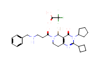 O=C(CCNCc1ccccc1)N1CCc2nc(C3CCC3)n(C3CCCC3)c(=O)c2C1S.O=C(O)C(F)(F)F